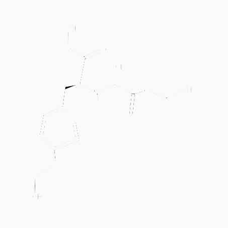 CCOC(=O)[C@@H](C)N[C@@H](Cc1ccc(OCC)cc1)C(=O)OC